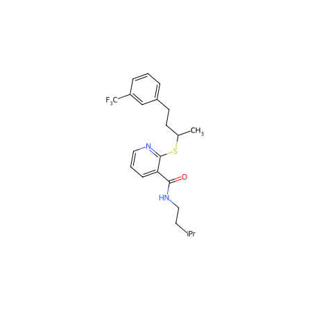 CC(C)CCNC(=O)c1cccnc1SC(C)CCc1cccc(C(F)(F)F)c1